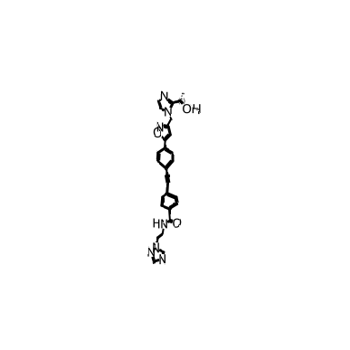 C[C@H](O)c1nccn1Cc1cc(-c2ccc(C#Cc3ccc(C(=O)NCCn4cncn4)cc3)cc2)on1